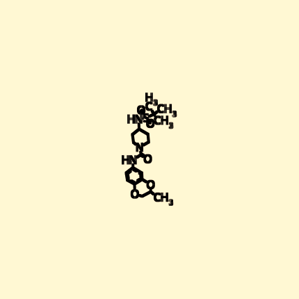 CC1COc2ccc(NC(=O)N3CCC(NS(=O)(=O)C(C)(C)C)CC3)cc2O1